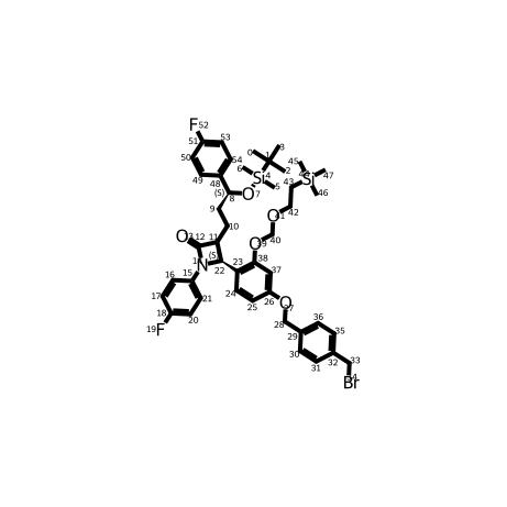 CC(C)(C)[Si](C)(C)O[C@@H](CCC1C(=O)N(c2ccc(F)cc2)[C@@H]1c1ccc(OCc2ccc(CBr)cc2)cc1OCOCC[Si](C)(C)C)c1ccc(F)cc1